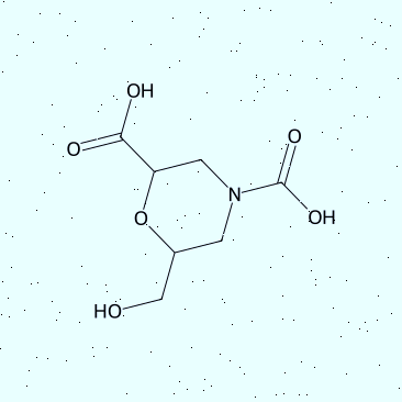 O=C(O)C1CN(C(=O)O)CC(CO)O1